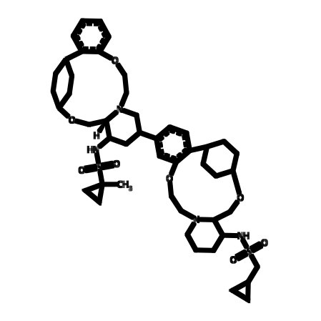 CC1(S(=O)(=O)NC2CC(c3ccc4c(c3)OCCN3CCCC(NS(=O)(=O)CC5CC5)C3COC3CCC4CC3)CN3CCOc4ccccc4C4CCC(CC4)OC[C@@H]23)CC1